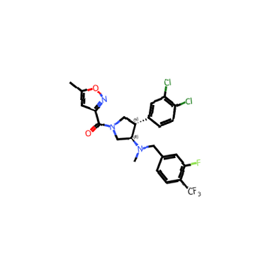 Cc1cc(C(=O)N2C[C@H](c3ccc(Cl)c(Cl)c3)[C@@H](N(C)Cc3ccc(C(F)(F)F)c(F)c3)C2)no1